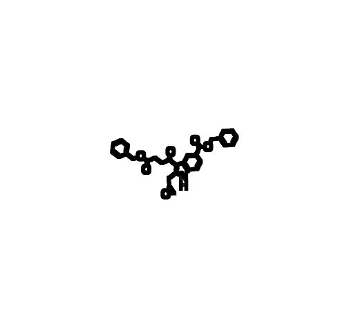 O=C(CCC(=O)c1c(CC2CO2)[nH]c2ccc(C(=O)OCc3ccccc3)cc12)OCc1ccccc1